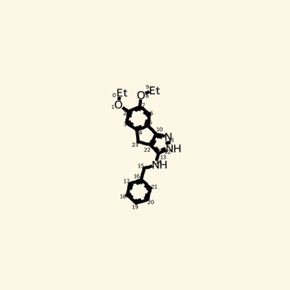 CCOc1cc2c(cc1OCC)-c1n[nH]c(NCc3ccccc3)c1C2